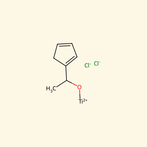 CC([O][Ti+2])C1=CC=CC1.[Cl-].[Cl-]